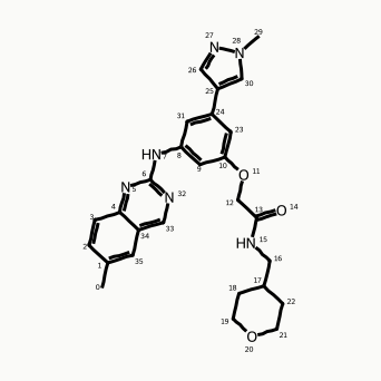 Cc1ccc2nc(Nc3cc(OCC(=O)NCC4CCOCC4)cc(-c4cnn(C)c4)c3)ncc2c1